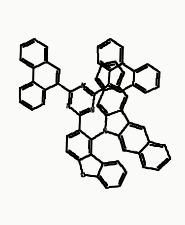 c1ccc2cc3c(cc2c1)c1cc2ccccc2cc1n3-c1c(-c2nc(-c3cc4ccccc4c4ccccc34)nc(-c3cc4ccccc4c4ccccc34)n2)ccc2oc3ccccc3c12